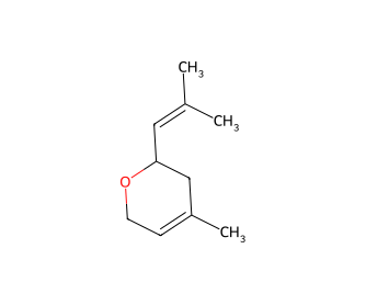 CC(C)=CC1CC(C)=CCO1